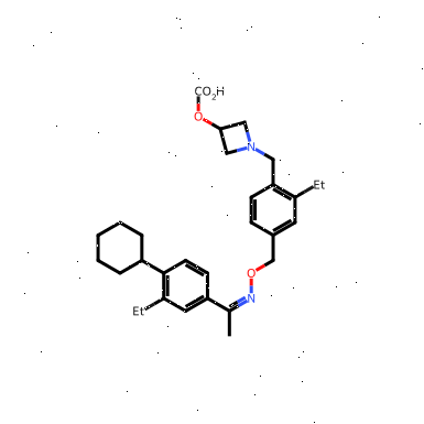 CCc1cc(CON=C(C)c2ccc(C3CCCCC3)c(CC)c2)ccc1CN1CC(OC(=O)O)C1